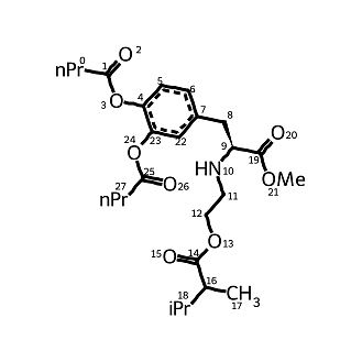 CCCC(=O)Oc1ccc(C[C@H](NCCOC(=O)C(C)C(C)C)C(=O)OC)cc1OC(=O)CCC